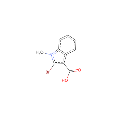 Cn1c(Br)c(C(=O)O)c2ccccc21